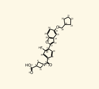 O=C(O)C1CN(C(=O)c2ccc(-c3cc4cc(OCC5CCCC5)ccc4o3)c(F)c2)C1